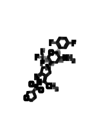 Cc1c2c(nn1S(=O)(=O)C1CCOC1)CN([C@@H]1C[C@H](N)[C@@H](c3cc(F)ccc3F)O[C@H]1C(F)(F)F)C2